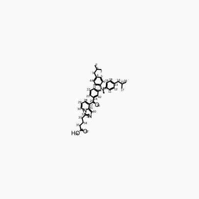 CC(C)Cc1ccc([N+](C)(c2ccc(CC(C)C)cc2)c2cccc(C(=O)c3cccn4c(CCCC(=O)O)ncc34)c2)cc1